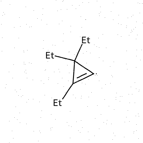 CCC1=[C]C1(CC)CC